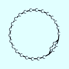 C1CCCCCCCCCCCC2CC[C](CCCCCCCCCC1)CC2